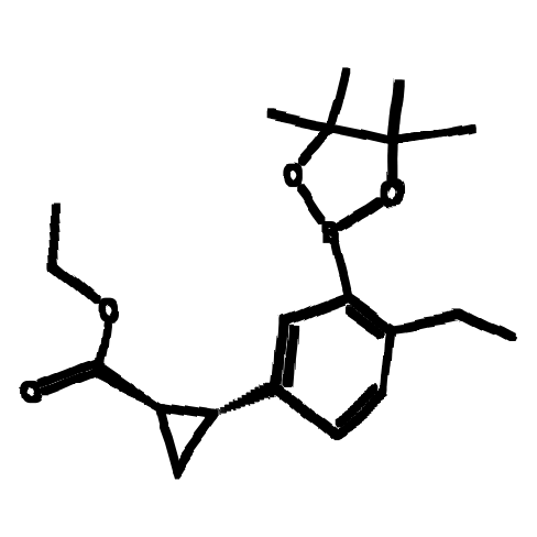 CCOC(=O)[C@@H]1C[C@H]1c1ccc(CC)c(B2OC(C)(C)C(C)(C)O2)c1